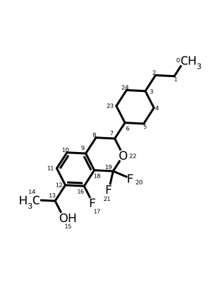 CCCC1CCC(C2Cc3ccc(C(C)O)c(F)c3C(F)(F)O2)CC1